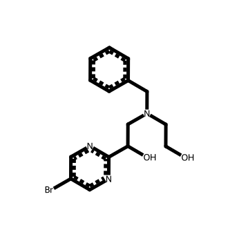 OCCN(Cc1ccccc1)CC(O)c1ncc(Br)cn1